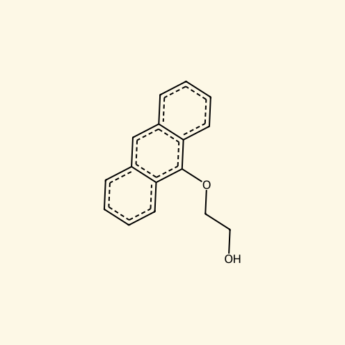 OCCOc1c2ccccc2cc2ccccc12